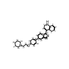 C1=CCC2=C(C=1)NCC=C2c1nnc2cc(C3=CCC(OCCN4CCCCC4)C=C3)ccn12